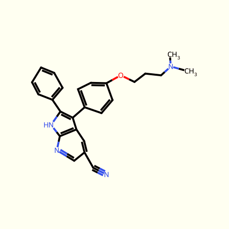 CN(C)CCCOc1ccc(-c2c(-c3ccccc3)[nH]c3ncc(C#N)cc23)cc1